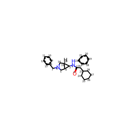 O=C(N[C@H]1C2CN(Cc3ccccc3)C[C@@H]21)[C@H](c1ccccc1)C1CCCCC1